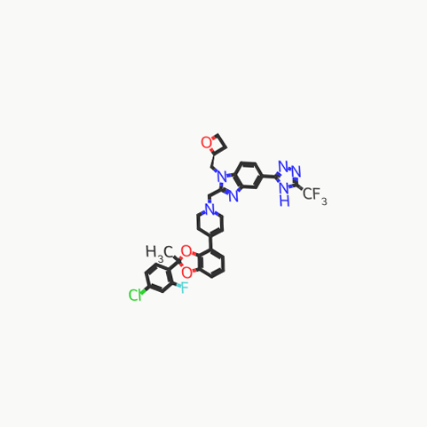 CC1(c2ccc(Cl)cc2F)Oc2cccc(C3=CCN(Cc4nc5cc(-c6nnc(C(F)(F)F)[nH]6)ccc5n4C[C@@H]4CCO4)CC3)c2O1